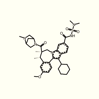 COc1ccc2c(c1)[C@H](C)[C@@](C)(C(=O)N1CC3CC1CN3C)Cn1c-2c(C2CCCCC2)c2ccc(C(=O)NS(=O)(=O)N(C)C)cc21